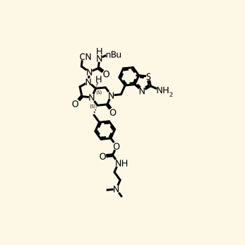 CCCCNC(=O)N(CC#N)N1CC(=O)N2[C@@H](Cc3ccc(OC(=O)NCCN(C)C)cc3)C(=O)N(Cc3cccc4sc(N)nc34)C[C@@H]21